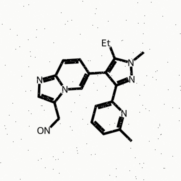 CCc1c(-c2ccc3ncc(CN=O)n3c2)c(-c2cccc(C)n2)nn1C